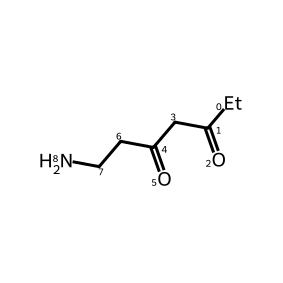 CCC(=O)CC(=O)CCN